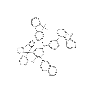 CC1(C)c2ccccc2-c2ccc(N(c3cccc(-c4cccc5sc6ccccc6c45)c3)c3cc(-c4ccc5ccccc5c4)c4c(c3)C3(c5ccccc5O4)c4ccccc4-c4ccccc43)cc21